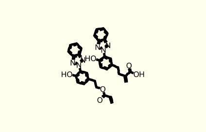 C=C(CCc1ccc(O)c(-n2nc3ccccc3n2)c1)C(=O)O.C=CC(=O)OCCc1ccc(O)c(-n2nc3ccccc3n2)c1